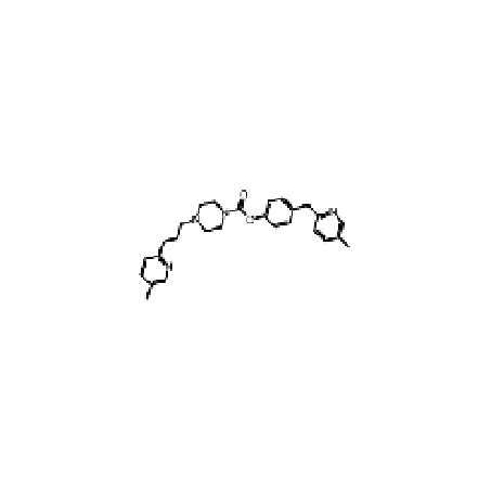 Cc1ccc(CCCN2CCN(C(=O)Oc3ccc(Cc4ccc(C)cn4)cc3)CC2)nc1